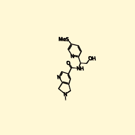 CSc1ccc(C(CO)NC(=O)c2cnc3c(c2)CN(C)C3)nc1